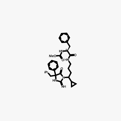 COC(=O)N[C@@H](Cc1ccccc1)C(=O)NCCCC(C1CC1)N1C(=N)NC(CC(C)C)(c2ccccc2)C1=O